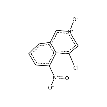 O=[N+]([O-])c1cccc2c[n+]([O-])cc(Cl)c12